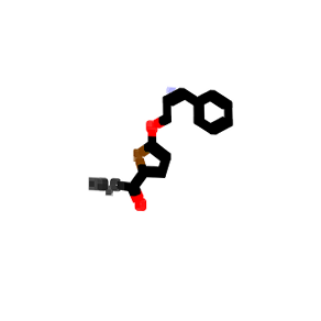 O=C(O)C(=O)c1ccc(OC/C=C\c2ccccc2)s1